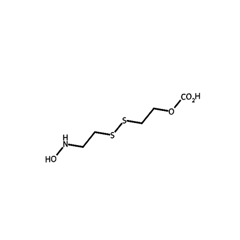 O=C(O)OCCSSCCNO